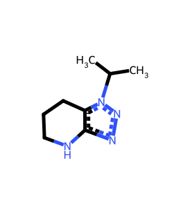 CC(C)n1nnc2c1CCCN2